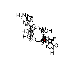 Nc1ncnc2c1ncn2[C@@H]1OC2COP(=O)(O)O[C@@H]3[C@H](O)C(COP(=O)(O)O[C@H]2[C@H]1O)O[C@H]3n1cc(F)c2c(=O)[nH]cnc21